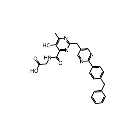 Cc1nc(Cc2cnc(-c3ccc(Cc4ccccc4)cc3)nc2)nc(C(=O)NCC(=O)O)c1O